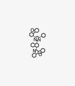 c1ccc(-c2cc(-c3cccc4oc5ccccc5c34)nc(-c3ccc(-c4nc5ccccc5c5oc6ccccc6c45)c4ccccc34)n2)cc1